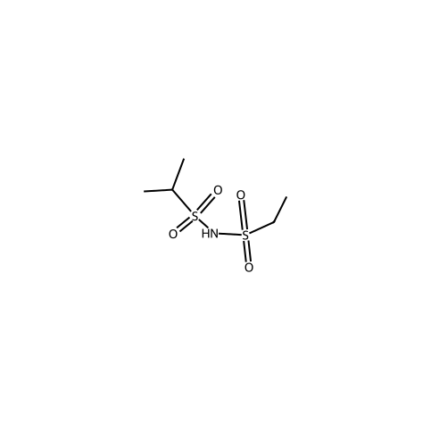 CCS(=O)(=O)NS(=O)(=O)C(C)C